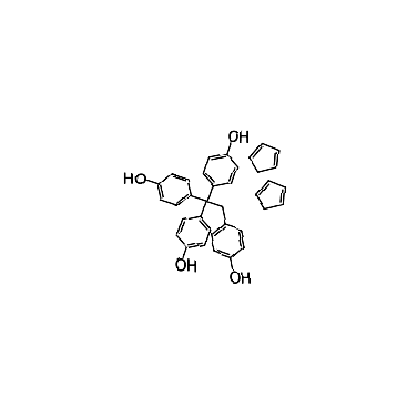 C1=CCC=C1.C1=CCC=C1.Oc1ccc(CC(c2ccc(O)cc2)(c2ccc(O)cc2)c2ccc(O)cc2)cc1